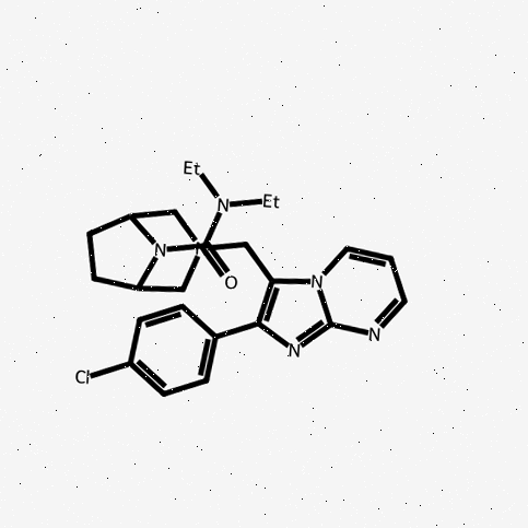 CCN(CC)C(=O)N1C2CCC1CN(Cc1c(-c3ccc(Cl)cc3)nc3ncccn13)C2